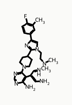 Cc1cc(-c2cn(CCN(C)C)c(C3CCN(c4ncnc(N)c4/C(C=N)=C/N)CC3)n2)ccc1F